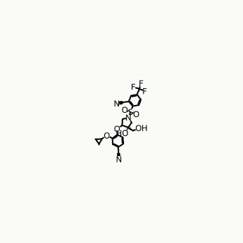 N#Cc1ccc(OC2CN(S(=O)(=O)c3ccc(C(F)(F)F)cc3C#N)C[C@@]2(O)CO)c(OC2CC2)c1